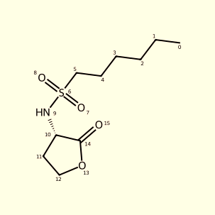 CCCCCCS(=O)(=O)N[C@H]1CCOC1=O